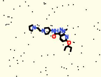 CCC(CC)Oc1ccc2c(C(=O)NC3CCN(CCN4CCCC4)CC3)nn(C)c2n1